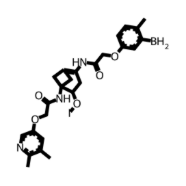 Bc1cc(OCC(=O)NC2=C3CC(NC(=O)COc4cnc(C)c(C)c4)(C3)C(OI)C2)ccc1C